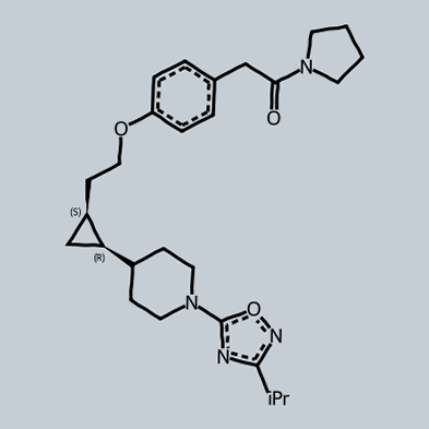 CC(C)c1noc(N2CCC([C@H]3C[C@H]3CCOc3ccc(CC(=O)N4CCCC4)cc3)CC2)n1